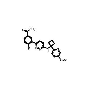 COc1ccc(C2(Nc3ccc(-c4cc(C(N)=O)ccc4F)nn3)CCC2)nc1